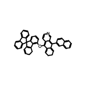 C1=CC2=C(CC1)c1c(Oc3c4c(c(-c5ccc6ccccc6c5)c5cnccc35)=CCCC=4)cccc1C21c2ccccc2-c2ccccc21